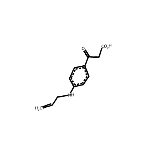 C=CCNc1ccc(C(=O)CC(=O)O)cc1